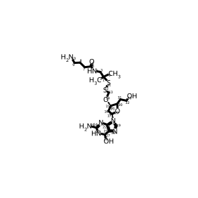 CC(C)(CNC(=O)CCCN)SSCO[C@@H]1C[C@H](n2cnc3c2N=C(N)NC3O)OC1CCO